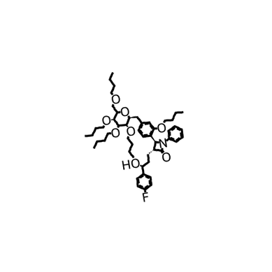 CCCCOCC1O[C@@H](Cc2ccc([C@@H]3[C@@H](CC[C@H](O)c4ccc(F)cc4)C(=O)N3c3ccccc3)c(OCCCC)c2)[C@@H](OCCCC)C(OCCCC)[C@@H]1OCCCC